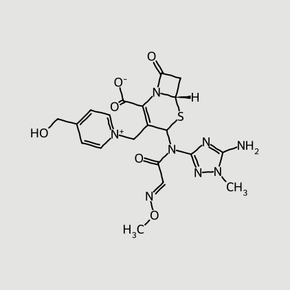 CON=CC(=O)N(c1nc(N)n(C)n1)C1S[C@H]2CC(=O)N2C(C(=O)[O-])=C1C[n+]1ccc(CO)cc1